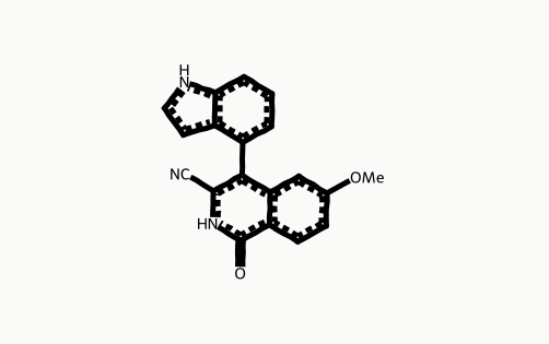 COc1ccc2c(=O)[nH]c(C#N)c(-c3cccc4[nH]ccc34)c2c1